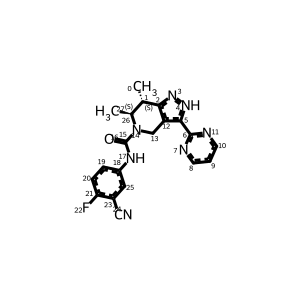 C[C@@H]1c2n[nH]c(-c3ncccn3)c2CN(C(=O)Nc2ccc(F)c(C#N)c2)[C@H]1C